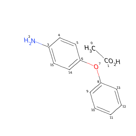 CC(=O)O.Nc1ccc(Oc2ccccc2)cc1